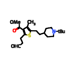 COC(=O)c1c(CCC=O)sc(CCC2CCN(C(C)(C)C)CC2)c1C